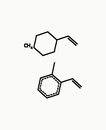 C.C=CC1CCCCC1.C=Cc1ccccc1C